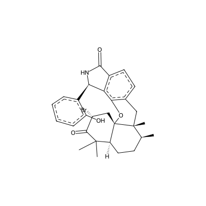 C[C@H]1CC[C@H]2C(C)(C)C(=O)[C@H](Br)C[C@]23Oc2c(ccc4c2[C@@H](c2ccccc2O)NC4=O)C[C@]13C